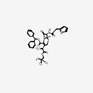 C=C(C(=O)OCC(Cl)(Cl)Cl)C1=C(C(=O)OC(c2ccccc2)c2ccccc2)N2C(=O)[C@@H](NC(=O)Cc3cccs3)[C@@H]2SC1